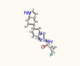 Cc1cc2[nH]ccc2cc1-c1ccc2nc(NC(=O)C3CC3F)cn2c1